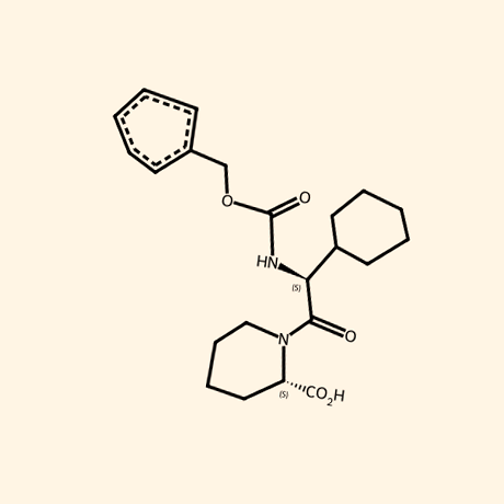 O=C(N[C@H](C(=O)N1CCCC[C@H]1C(=O)O)C1CCCCC1)OCc1ccccc1